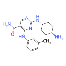 Cc1cccc(Nc2nc(N[C@H]3CC[C@H](N)CC3)ncc2C(N)=O)c1